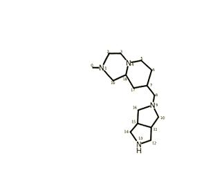 CN1CCN2CCC(CN3CC4CNCC4C3)CC2C1